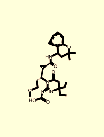 CCC1(CC)CC(=O)N([C@H](CCOC)[C@@H]2C[C@H]2C(=O)NC2CC(C)(C)Oc3ccccc32)C(=NC(=O)O)N1